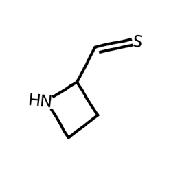 S=CC1CCN1